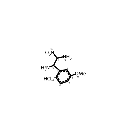 COc1cccc(C(N)C(N)[N+](=O)[O-])c1.Cl